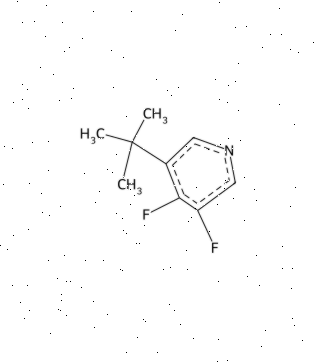 CC(C)(C)c1cncc(F)c1F